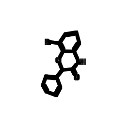 O=C1Nc2cccc(Br)c2OC1c1ccccc1